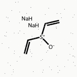 C=C[S+]([O-])C=C.[NaH].[NaH]